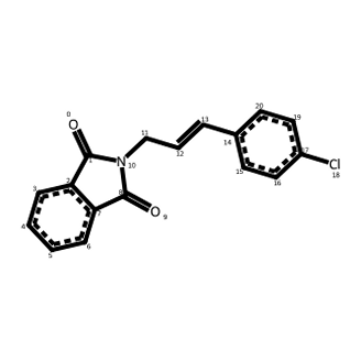 O=C1c2ccccc2C(=O)N1C/C=C/c1ccc(Cl)cc1